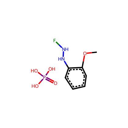 COc1ccccc1NNF.O=P(O)(O)O